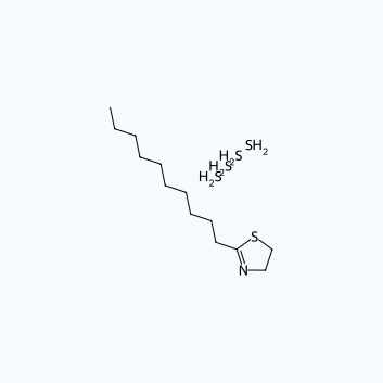 CCCCCCCCCCC1=NCCS1.S.S.S.S